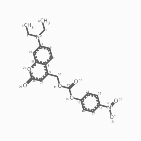 CCN(CC)c1ccc2c(COC(=O)Oc3ccc([N+](=O)[O-])cc3)cc(=O)oc2c1